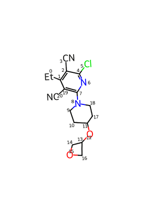 CCc1c(C#N)c(Cl)nc(N2CCC(OC3COC3)CC2)c1C#N